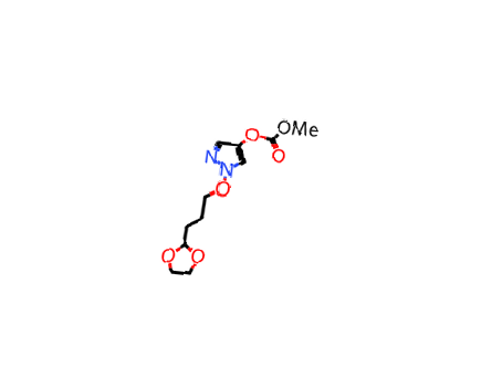 COC(=O)Oc1cnn(OCCCC2OCCO2)c1